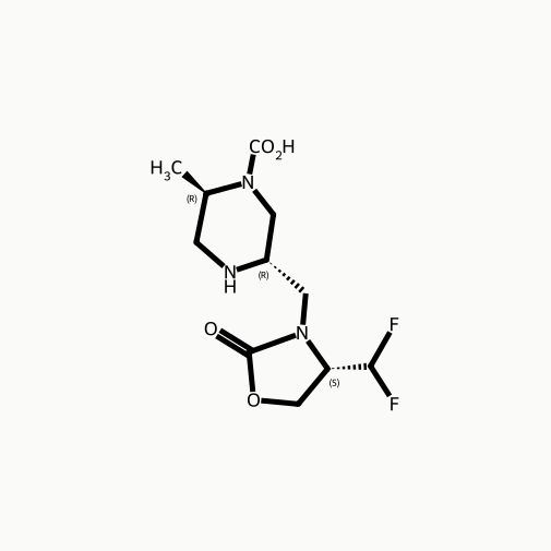 C[C@@H]1CN[C@@H](CN2C(=O)OC[C@H]2C(F)F)CN1C(=O)O